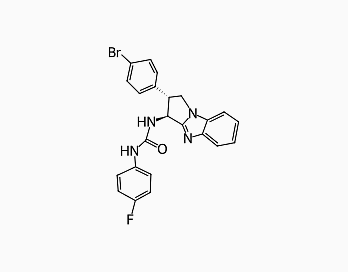 O=C(Nc1ccc(F)cc1)N[C@@H]1c2nc3ccccc3n2C[C@H]1c1ccc(Br)cc1